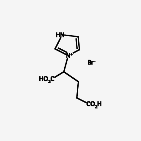 O=C(O)CCC(C(=O)O)[n+]1cc[nH]c1.[Br-]